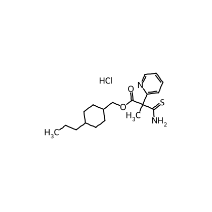 CCCC1CCC(COC(=O)C(C)(C(N)=S)c2ccccn2)CC1.Cl